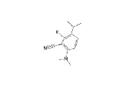 CC(C)c1ccc(N(C)C)c(C#N)c1F